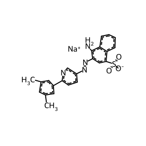 Cc1cc(C)cc(-c2ccc(N=Nc3cc(S(=O)(=O)[O-])c4ccccc4c3N)cn2)c1.[Na+]